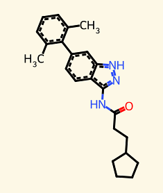 Cc1cccc(C)c1-c1ccc2c(NC(=O)CCC3CCCC3)n[nH]c2c1